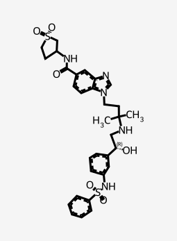 CC(C)(CCn1cnc2cc(C(=O)NC3CCS(=O)(=O)C3)ccc21)NC[C@H](O)c1cccc(NS(=O)(=O)c2ccccc2)c1